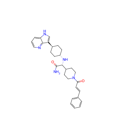 NC(=O)[C@H](N[C@H]1CC[C@H](c2c[nH]c3cccnc32)CC1)C1CCN(C(=O)/C=C/c2ccccc2)CC1